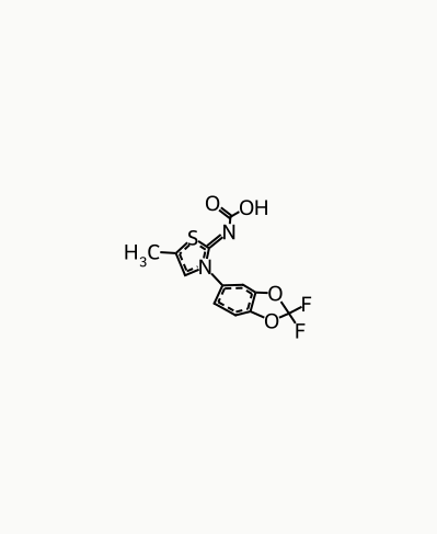 Cc1cn(-c2ccc3c(c2)OC(F)(F)O3)c(=NC(=O)O)s1